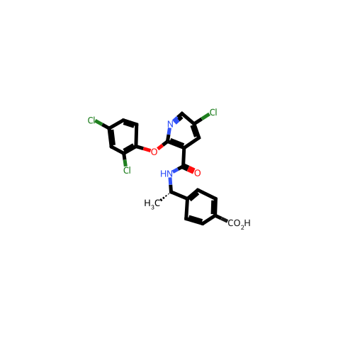 C[C@H](NC(=O)c1cc(Cl)cnc1Oc1ccc(Cl)cc1Cl)c1ccc(C(=O)O)cc1